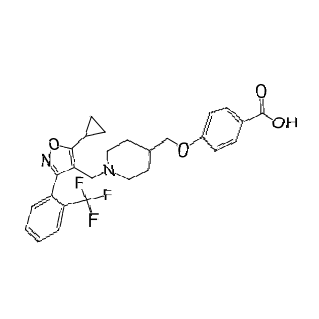 O=C(O)c1ccc(OCC2CCN(Cc3c(-c4ccccc4C(F)(F)F)noc3C3CC3)CC2)cc1